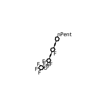 CCCCCc1ccc(C#Cc2ccc(C#Cc3cc(F)c(C(F)(F)Oc4cc(F)c(F)c(F)c4)c(F)c3)c(F)c2)cc1